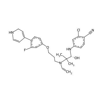 C=CN(CCCOc1ccc(C2=CCNC=C2)c(F)c1)C(C)(C)[C@@H](O)Nc1ccc(C#N)c(Cl)c1